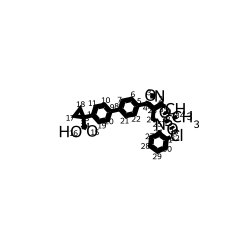 Cc1noc(-c2ccc(-c3ccc(C4(C(=O)O)CC4)cc3)cc2)c1CN(c1ccccc1Cl)S(C)(=O)=O